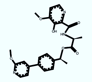 COc1cc(-c2ccc([C@H](C)OC(=O)[C@H](C)NC(=O)c3nccc(OC)c3O)cc2)ccn1